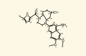 COc1cc2nc(N3CCN(C(=O)c4ccc(C)o4)C4CCCCC43)nc(N)c2cc1OC.Cl